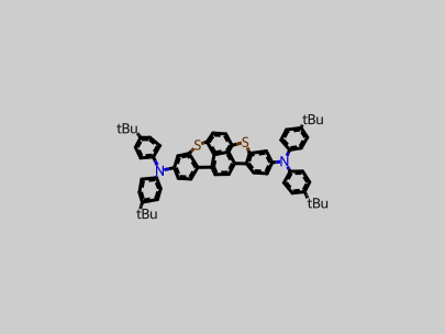 CC(C)(C)c1ccc(N(c2ccc(C(C)(C)C)cc2)c2ccc3c(c2)Sc2ccc4c5c(ccc-3c25)-c2ccc(N(c3ccc(C(C)(C)C)cc3)c3ccc(C(C)(C)C)cc3)cc2S4)cc1